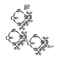 O=S(=O)([O-])C1=Cc2cc3ccc(cc4nc(cc5[nH]c(c(S(=O)(=O)[O-])c1n2)c(S(=O)(=O)[O-])c5S(=O)(=O)[O-])C=C4)[nH]3.O=S(=O)([O-])C1=Cc2cc3ccc(cc4nc(cc5[nH]c(c(S(=O)(=O)[O-])c1n2)c(S(=O)(=O)[O-])c5S(=O)(=O)[O-])C=C4)[nH]3.O=S(=O)([O-])C1=Cc2cc3ccc(cc4nc(cc5[nH]c(c(S(=O)(=O)[O-])c1n2)c(S(=O)(=O)[O-])c5S(=O)(=O)[O-])C=C4)[nH]3.[Cr+3].[Cr+3].[Cr+3].[Cr+3]